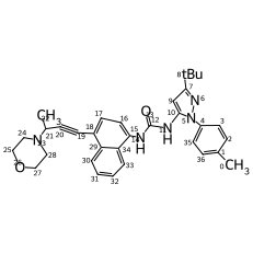 Cc1ccc(-n2nc(C(C)(C)C)cc2NC(=O)Nc2ccc(C#CC(C)N3CCOCC3)c3ccccc23)cc1